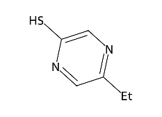 [CH]Cc1cnc(S)cn1